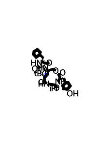 CC(C)[C@@H]1NC(=O)/C=C/[C@@H](NC(=O)[C@H](Cc2ccccc2)NC(=O)OC(C)(C)C)COC(=O)[C@H](Cc2ccc(O)cc2)NC1=O